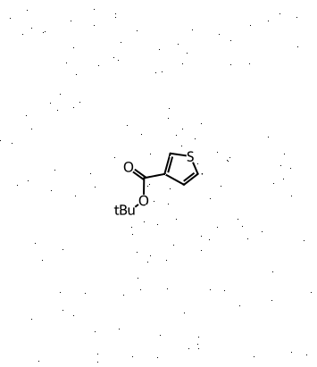 CC(C)(C)OC(=O)c1c[c]sc1